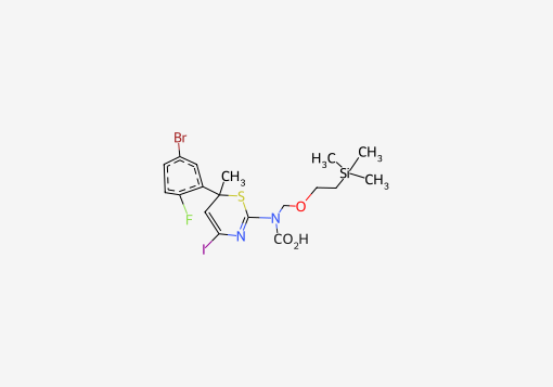 CC1(c2cc(Br)ccc2F)C=C(I)N=C(N(COCC[Si](C)(C)C)C(=O)O)S1